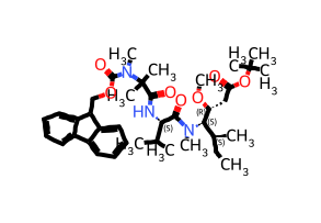 CC[C@H](C)[C@@H]([C@@H](CC(=O)OC(C)(C)C)OC)N(C)C(=O)[C@@H](NC(=O)C(C)(C)N(C)C(=O)OCC1c2ccccc2-c2ccccc21)C(C)C